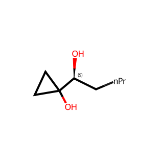 CCCC[C@H](O)C1(O)CC1